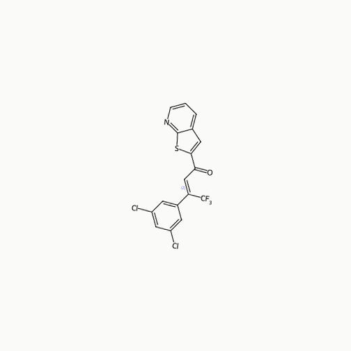 O=C(/C=C(/c1cc(Cl)cc(Cl)c1)C(F)(F)F)c1cc2cccnc2s1